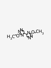 CCOc1nncc(-c2cnnc(OCC)n2)n1